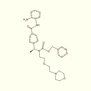 C[C@@H](c1ccc(C(=O)Nc2ccccc2N)cc1)N(CCOCCN1CCOCC1)C(=O)OCc1cccnc1